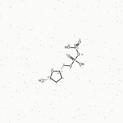 C[C@H]1CC[C@@H](COP(=O)(O)O[PH](=O)O)O1